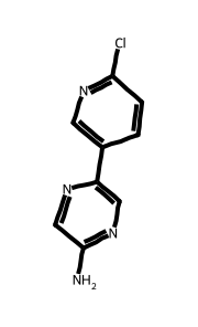 Nc1cnc(-c2ccc(Cl)nc2)cn1